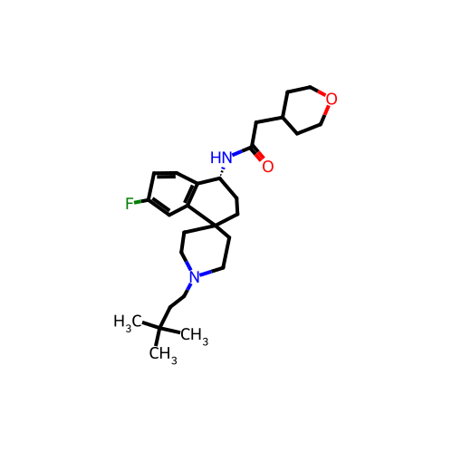 CC(C)(C)CCN1CCC2(CC[C@@H](NC(=O)CC3CCOCC3)c3ccc(F)cc32)CC1